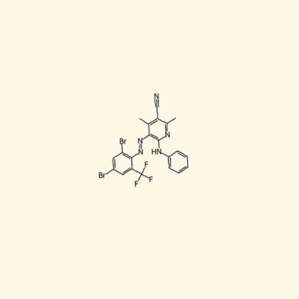 Cc1nc(Nc2ccccc2)c(N=Nc2c(Br)cc(Br)cc2C(F)(F)F)c(C)c1C#N